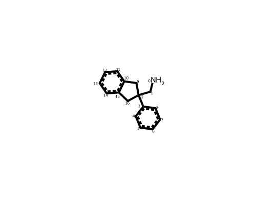 NCC1(c2ccccc2)Cc2ccccc2C1